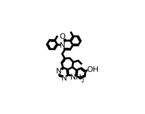 CCC1CC(Cc2cc3cccc(C)c3c(=O)n2-c2ccccc2C)=Cc2ncnc(N)c2C1c1cccc(O)c1